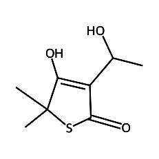 CC(O)C1=C(O)C(C)(C)SC1=O